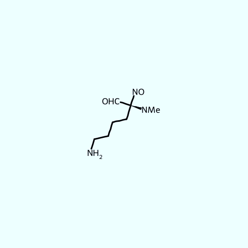 CN[C@](C=O)(CCCCN)N=O